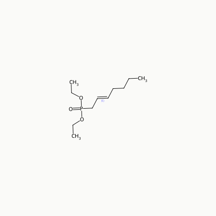 CCCC/C=C/CP(=O)(OCC)OCC